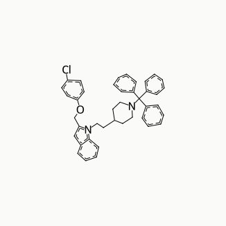 Clc1ccc(OCc2cc3ccccc3n2CCC2CCN(C(c3ccccc3)(c3ccccc3)c3ccccc3)CC2)cc1